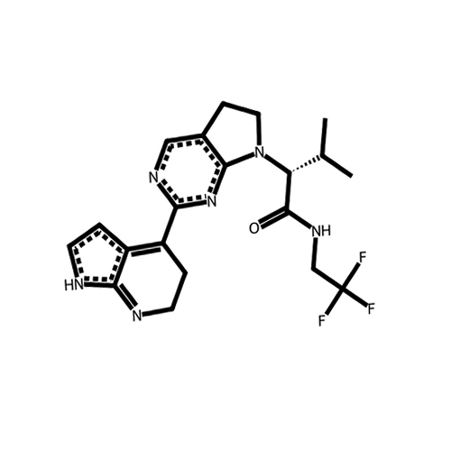 CC(C)[C@H](C(=O)NCC(F)(F)F)N1CCc2cnc(C3=c4cc[nH]c4=NCC3)nc21